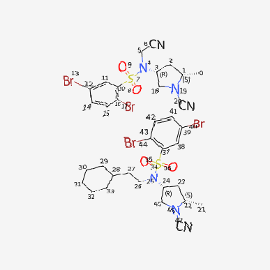 C[C@H]1C[C@@H](N(CC#N)S(=O)(=O)c2cc(Br)ccc2Br)CN1C#N.C[C@H]1C[C@@H](N(CCC2CCCCC2)S(=O)(=O)c2cc(Br)ccc2Br)CN1C#N